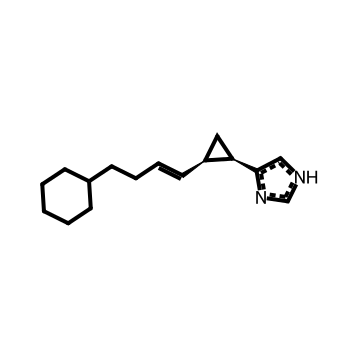 C(=C\[C@H]1C[C@H]1c1c[nH]cn1)/CCC1CCCCC1